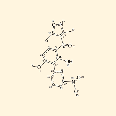 COc1ccc(C(=O)c2c(C)noc2C)c(O)c1-c1cccc([N+](=O)[O-])c1